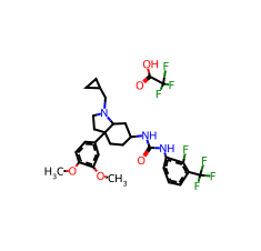 COc1ccc(C23CCC(NC(=O)Nc4cccc(C(F)(F)F)c4F)CC2N(CC2CC2)CC3)cc1OC.O=C(O)C(F)(F)F